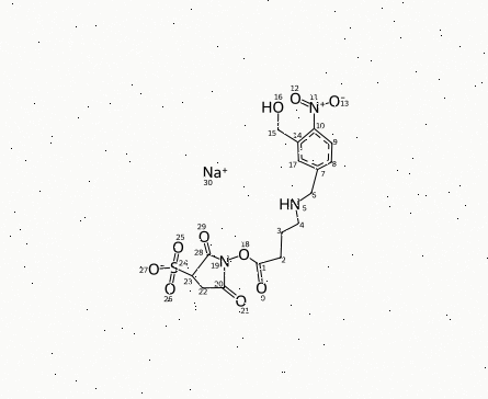 O=C(CCCNCc1ccc([N+](=O)[O-])c(CO)c1)ON1C(=O)CC(S(=O)(=O)[O-])C1=O.[Na+]